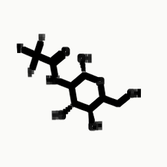 O=C(NC1[C@H](O)OC(CO)[C@@H](O)[C@@H]1O)C(F)(F)F